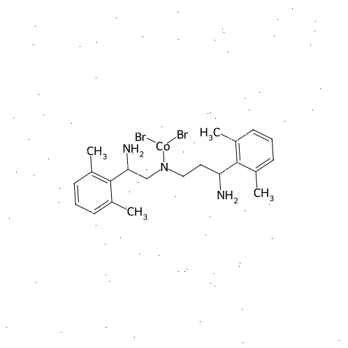 Cc1cccc(C)c1C(N)CC[N](CC(N)c1c(C)cccc1C)[Co]([Br])[Br]